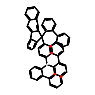 c1ccc(-c2ccccc2N(c2ccc3c(c2)-c2ccccc2-c2ccccc2C32c3ccccc3-c3cc4ccccc4cc32)c2ccccc2-c2ccccc2)cc1